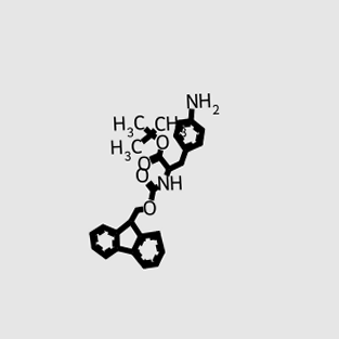 CC(C)(C)OC(=O)C(Cc1ccc(N)cc1)NC(=O)OCC1c2ccccc2-c2ccccc21